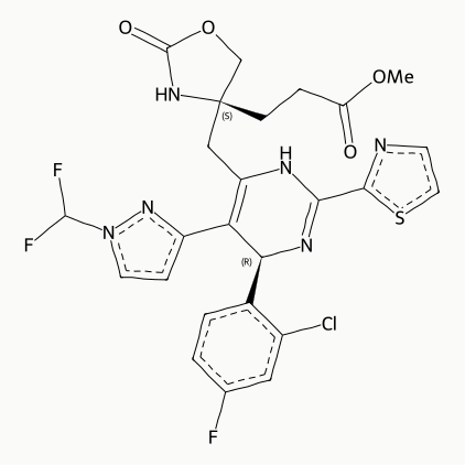 COC(=O)CC[C@]1(CC2=C(c3ccn(C(F)F)n3)[C@H](c3ccc(F)cc3Cl)N=C(c3nccs3)N2)COC(=O)N1